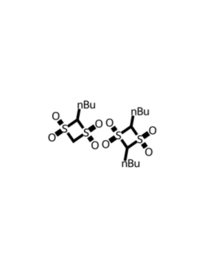 CCCCC1S(=O)(=O)C(CCCC)S1(=O)=O.CCCCC1S(=O)(=O)CS1(=O)=O